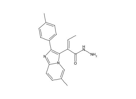 CC=C(C(=O)NN)c1c(-c2ccc(C)cc2)nc2ccc(C)cn12